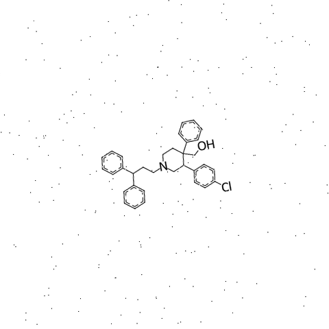 OCC1(c2ccccc2)CCN(CCC(c2ccccc2)c2ccccc2)CC1c1ccc(Cl)cc1